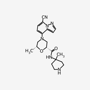 C[C@@H]1CN(c2ccc(C#N)n3nccc23)C[C@H](C(=O)NC2(C)CCNCC2)O1